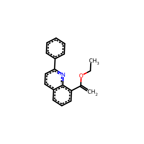 C=C(OCC)c1cccc2ccc(-c3ccccc3)nc12